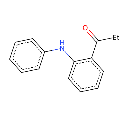 CCC(=O)c1ccccc1Nc1ccccc1